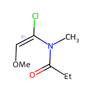 CCC(=O)N(C)/C(Cl)=C\OC